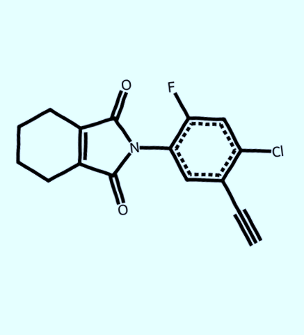 C#Cc1cc(N2C(=O)C3=C(CCCC3)C2=O)c(F)cc1Cl